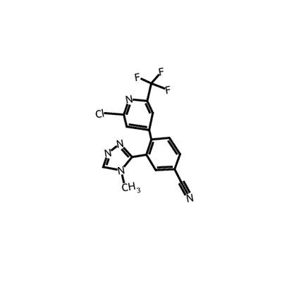 Cn1cnnc1-c1cc(C#N)ccc1-c1cc(Cl)nc(C(F)(F)F)c1